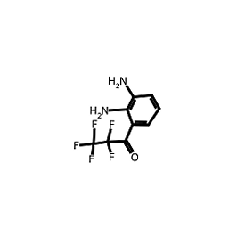 Nc1cccc(C(=O)C(F)(F)C(F)(F)F)c1N